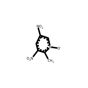 Cc1c([N+](=O)[O-])cc([N+](=O)[O-])c[n+]1[O-]